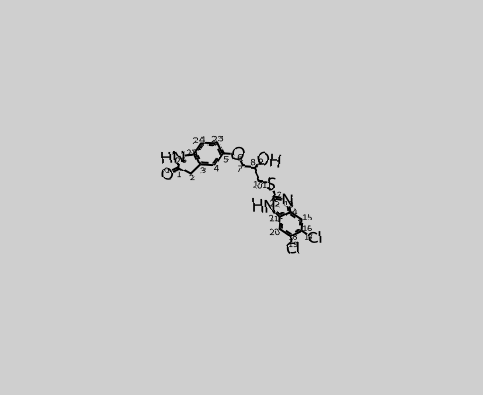 O=C1Cc2cc(OCC(O)CSc3nc4cc(Cl)c(Cl)cc4[nH]3)ccc2N1